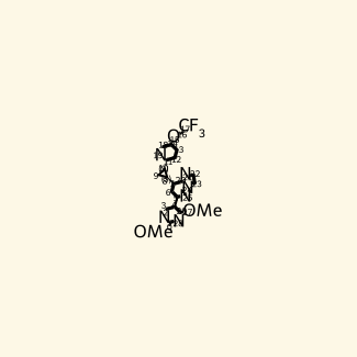 COc1ncc(-c2cc([C@H]3C[C@@H]3c3ccc(OCC(F)(F)F)cn3)c3nccn3n2)c(OC)n1